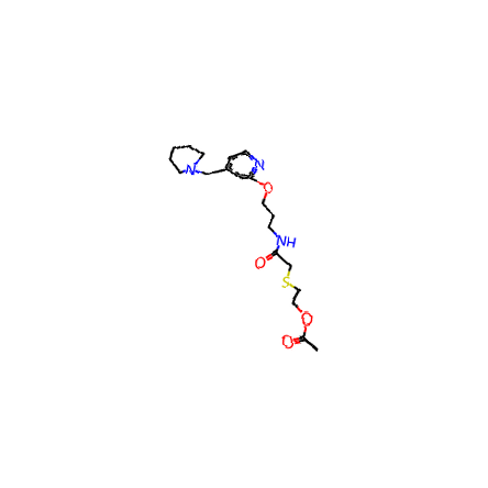 CC(=O)OCCSCC(=O)NCCCOc1cc(CN2CCCCC2)ccn1